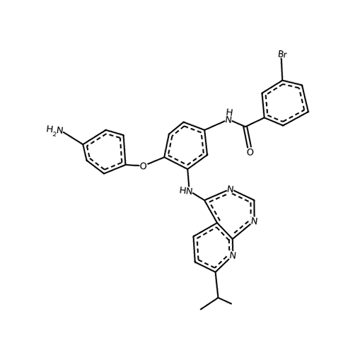 CC(C)c1ccc2c(Nc3cc(NC(=O)c4cccc(Br)c4)ccc3Oc3ccc(N)cc3)ncnc2n1